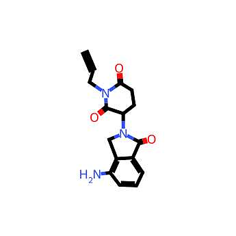 C#CCN1C(=O)CCC(N2Cc3c(N)cccc3C2=O)C1=O